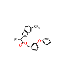 CC(C)C(C(=O)OCc1cccc(Oc2ccccc2)c1)C1=Cc2cc(C(F)(F)F)ccc2C1